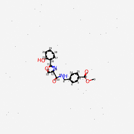 COC(=O)c1ccc(CNC(=O)c2coc(-c3ccccc3O)n2)cc1